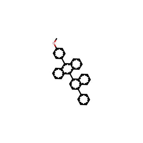 COc1ccc(-c2c3ccccc3c(-c3ccc(-c4ccccc4)c4ccccc34)c3ccccc23)cc1